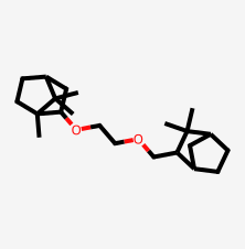 CC1(C)C2CCC(C2)C1COCCOC1CC2CCC1(C)C2(C)C